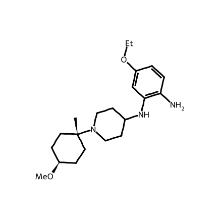 CCOc1ccc(N)c(NC2CCN([C@]3(C)CC[C@@H](OC)CC3)CC2)c1